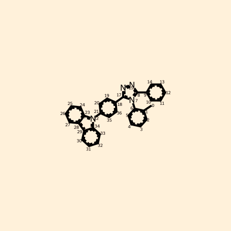 Cc1ccccc1-n1c(-c2ccccc2)nnc1-c1ccc(-n2c3ccccc3c3ccccc32)cc1